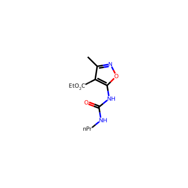 CCCNC(=O)Nc1onc(C)c1C(=O)OCC